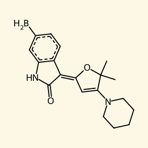 Bc1ccc2c(c1)NC(=O)/C2=C1\C=C(N2CCCCC2)C(C)(C)O1